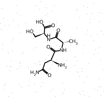 C[C@H](NC(=O)[C@@H](N)CC(N)=O)C(=O)N[C@@H](CO)C(=O)O